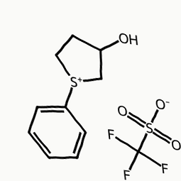 O=S(=O)([O-])C(F)(F)F.OC1CC[S+](c2ccccc2)C1